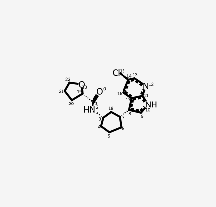 O=C(N[C@H]1CCC[C@@H](c2c[nH]c3ncc(Cl)cc23)C1)[C@@H]1CCCO1